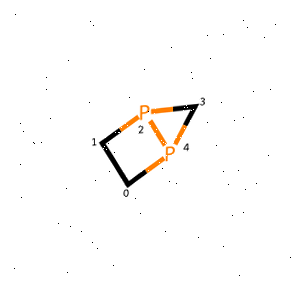 C1CP2CP12